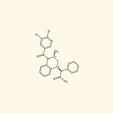 CC(=O)N(c1ccccc1)[C@@H]1C[C@H](C)N(C(=O)c2cnc(Cl)c(Cl)c2)c2ccccc21